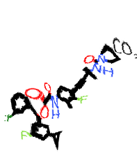 Cc1c(NC(=O)COc2ccc(Cl)cc2C(=O)c2cc(F)cc(C3CC3)c2)ccc(C#CC(C)(C)NC(=O)N2CCC(C(=O)O)CC2)c1F